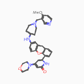 COc1ccncc1CN1CCC(Nc2ccc3c(c2)Cc2cccc(-c4cc(N5CCOCC5)cc(=O)[nH]4)c2O3)CC1